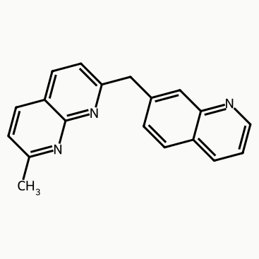 Cc1ccc2ccc(Cc3ccc4cccnc4c3)nc2n1